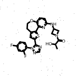 CC(O)C(=O)N1CC(Nc2ccc3c(n2)-c2sc(-c4ncnn4-c4ccc(F)cc4F)cc2CCO3)C1